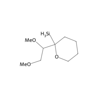 COCC(OC)C1([SiH3])CCCCO1